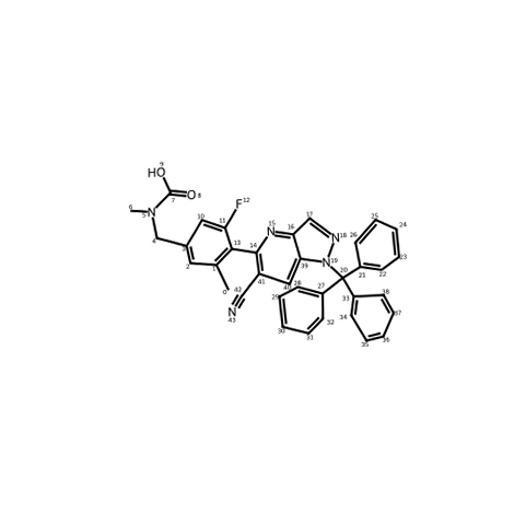 Cc1cc(CN(C)C(=O)O)cc(F)c1-c1nc2cnn(C(c3ccccc3)(c3ccccc3)c3ccccc3)c2cc1C#N